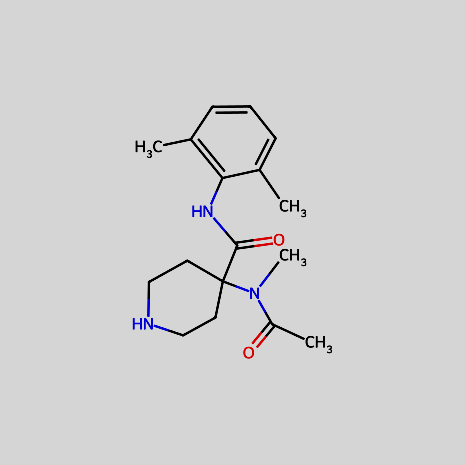 CC(=O)N(C)C1(C(=O)Nc2c(C)cccc2C)CCNCC1